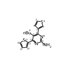 CCCCc1c(-c2ccsc2)nc(N)nc1-c1cccs1